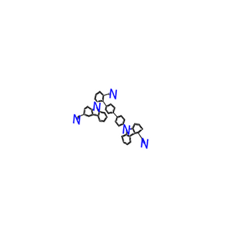 N#Cc1ccc2c(c1)c1ccccc1n2-c1cccc(C#N)c1-c1ccc(-c2ccc(-n3c4ccccc4c4c(C#N)cccc43)cc2)cc1